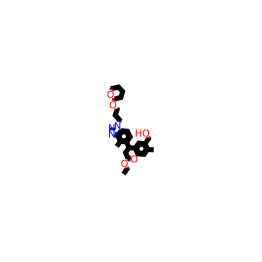 CCOC(=O)CC(c1ccc(C)c(CO)c1)c1ccc2c(nnn2CCCOC2CCCCO2)c1C